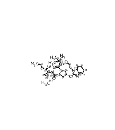 C=CCn1c(O[C@@H]2C[C@@H](C(=O)N[C@]3(C(=O)OCC)C[C@H]3CC)N(C(=O)OC(C)(C)C)C2)nc2ccccc21